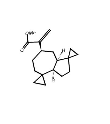 C=C(C(=O)OC)[C@@H]1CCC2(CC2)[C@@H]2CCC3(CC3)[C@@H]2C1